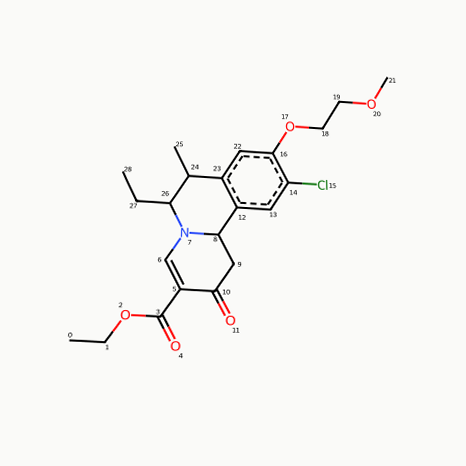 CCOC(=O)C1=CN2C(CC1=O)c1cc(Cl)c(OCCOC)cc1C(C)C2CC